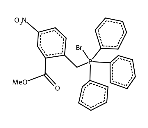 COC(=O)c1cc([N+](=O)[O-])ccc1CP(Br)(c1ccccc1)(c1ccccc1)c1ccccc1